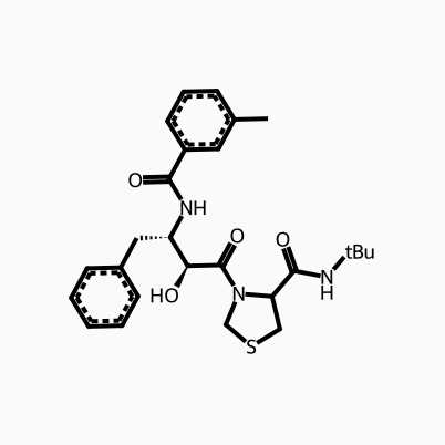 Cc1cccc(C(=O)N[C@@H](Cc2ccccc2)[C@H](O)C(=O)N2CSCC2C(=O)NC(C)(C)C)c1